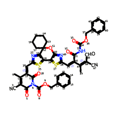 CC1=C(C#N)C(=O)N(C(=O)OCc2ccccc2)C(=O)/C1=C\c1nc2c(s1)-c1sc(/C=C(C(=O)NC(=O)OCc3ccccc3)/C(C)=C(/C#N)C=O)nc1OC21CCCCC1